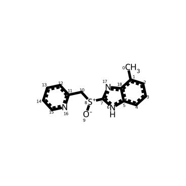 Cc1cccc2[nH]c([S+]([O-])Cc3ccccn3)nc12